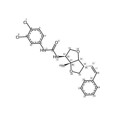 O=C(Nc1ccc(Cl)c(Cl)c1)N[C@H]1COC2[C@H](/C=C\c3ccccc3)CO[C@@H]21